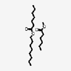 CCCCCC(=O)OC.CCCCCCCCOC(=O)CCCCCC